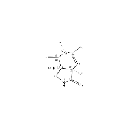 CC1=C[C@@]2(C)C(=O)NC[C@H]2[C@@H](C)[C@@H]1C